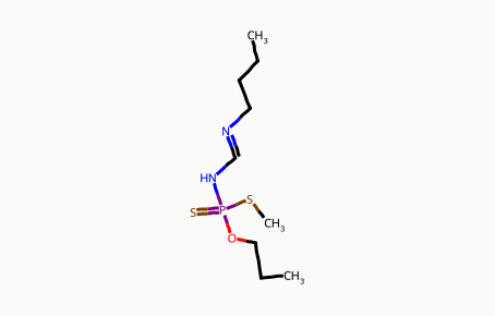 CCCCN=CNP(=S)(OCCC)SC